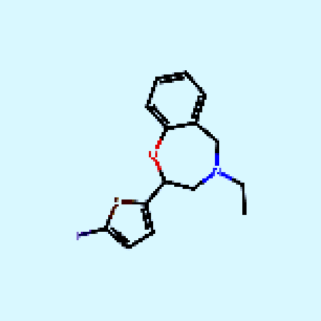 CCN1Cc2ccccc2OC(c2ccc(I)s2)C1